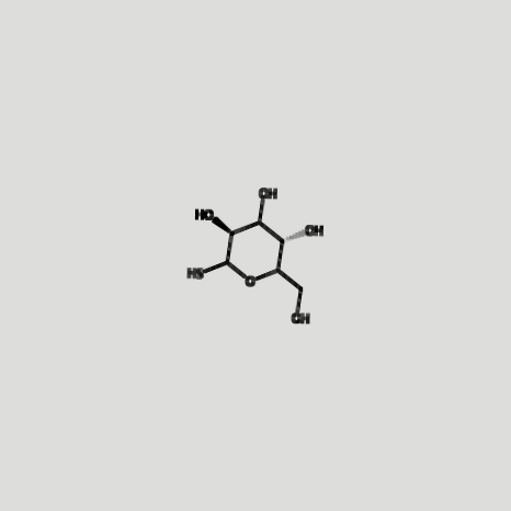 OCC1OC(S)[C@@H](O)C(O)[C@@H]1O